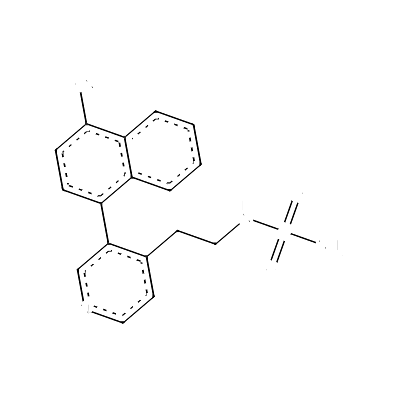 N#Cc1ccc(-c2cnccc2CCNS(N)(=O)=O)c2ccccc12